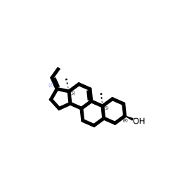 C/C=C1/CCC2C3CCC4C[C@H](O)CC[C@]4(C)C3=CC[C@]12C